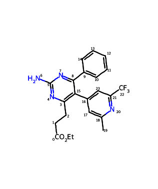 CCOC(=O)CCc1nc(N)nc(-c2ccccc2)c1-c1cc(C)nc(C(F)(F)F)c1